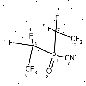 N#CP(=O)(C(F)(F)C(F)(F)F)C(F)(F)C(F)(F)F